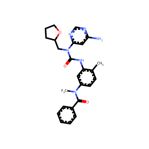 Cc1ccc(N(C(=O)c2ccccc2)C(F)(F)F)cc1NC(=O)N(CC1CCCO1)c1cc(N)ncn1